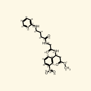 COC(=O)CC(NC(=O)CNC(=O)CCCNc1ccccn1)c1cccc([N+](=O)[O-])c1